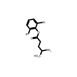 CC(C)c1cccc(C(C)C)c1OC(=O)CCC(N)C(=O)O